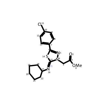 COC(=O)Cn1nc(-c2ccc(Cl)cc2)s/c1=N\C1CCCCC1